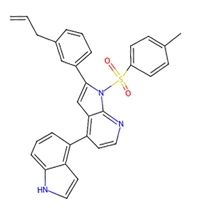 C=CCc1cccc(-c2cc3c(-c4cccc5[nH]ccc45)ccnc3n2S(=O)(=O)c2ccc(C)cc2)c1